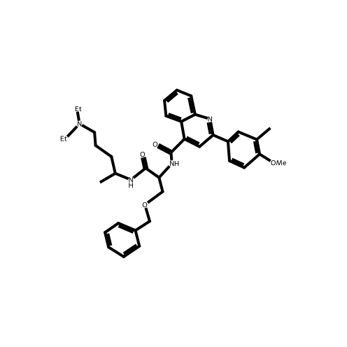 CCN(CC)CCCC(C)NC(=O)C(COCc1ccccc1)NC(=O)c1cc(-c2ccc(OC)c(C)c2)nc2ccccc12